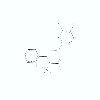 CC(C)(C)N(C(=O)O)[C@@H](COc1ccc(N)c(N)c1)c1ccccc1